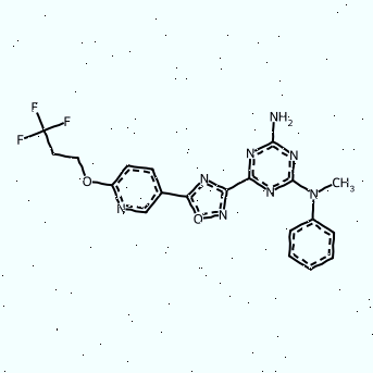 CN(c1ccccc1)c1nc(N)nc(-c2noc(-c3ccc(OCCC(F)(F)F)nc3)n2)n1